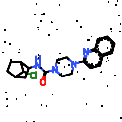 O=C(NC1CC2CCC1C2Cl)N1CCN(c2ccc3ccccc3n2)CC1